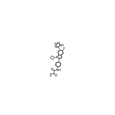 COC(=O)C(=O)Nc1ccc(-c2cc3cc(F)c(-c4nnn[nH]4)cc3n2C2CCC2)cc1